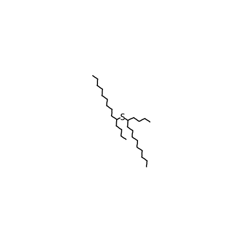 CCCCCCCCCC(CCCC)SC(CCCC)CCCCCCCCC